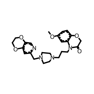 COc1ccc2c(c1)N(CCCN1CCN(Cc3cc4c(cn3)OCCO4)CC1)C(=O)CO2